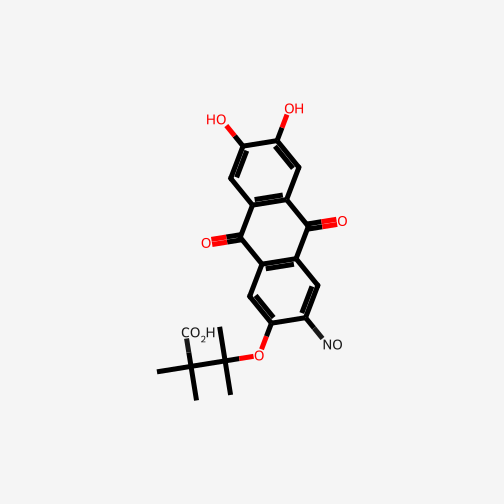 CC(C)(Oc1cc2c(cc1N=O)C(=O)c1cc(O)c(O)cc1C2=O)C(C)(C)C(=O)O